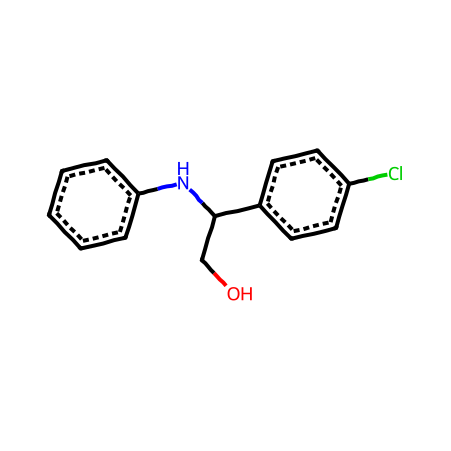 OCC(Nc1ccccc1)c1ccc(Cl)cc1